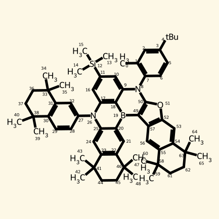 Cc1cc(C(C)(C)C)ccc1N1c2cc([Si](C)(C)C)cc3c2B(c2cc4c(cc2N3c2ccc3c(c2)C(C)(C)CCC3(C)C)C(C)(C)CCC4(C)C)c2c1oc1cc3c(cc21)C(C)(C)CCC3(C)C